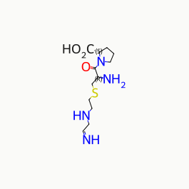 N=CCNCCSC[C@H](N)C(=O)N1CCC[C@H]1C(=O)O